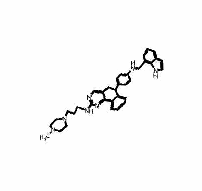 CN1CCN(CCCNc2ncc3c(n2)-c2ccccc2C(c2ccc(NCc4cccc5cc[nH]c45)cc2)C3)CC1